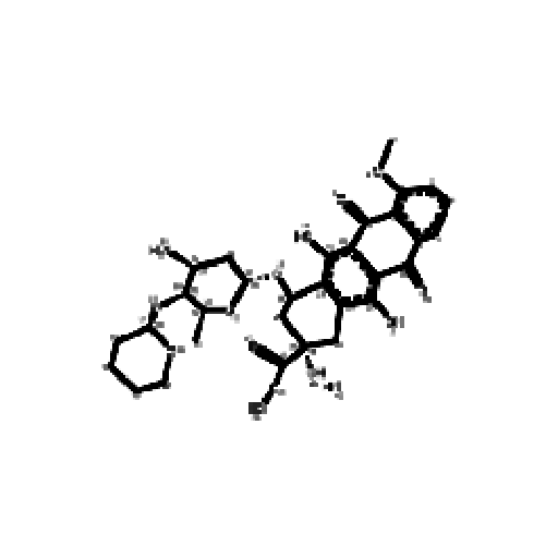 COc1cccc2c1C(=O)c1c(O)c3c(c(O)c1C2=O)C[C@@](O)(C(=O)CO)CC3O[C@H]1C[C@H](N)[C@H](O[C@@H]2CCCCO2)[C@H](C)O1.Cl